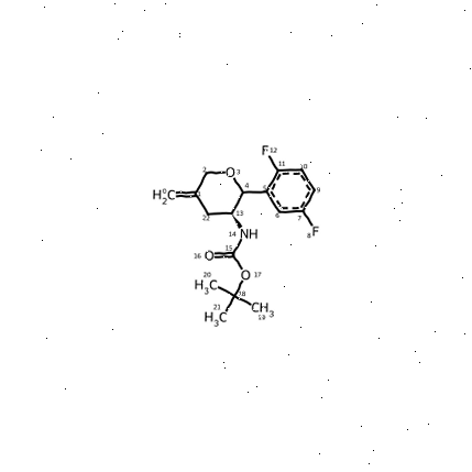 C=C1COC(c2cc(F)ccc2F)[C@@H](NC(=O)OC(C)(C)C)C1